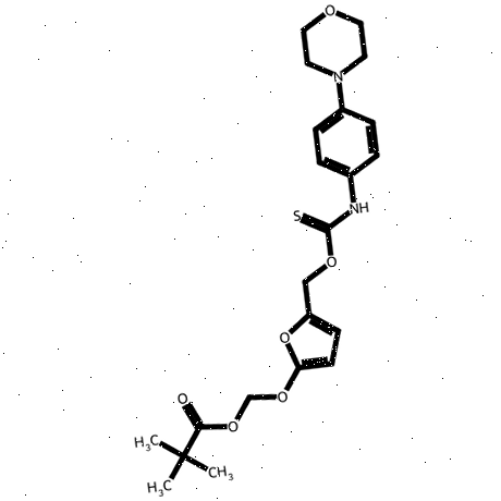 CC(C)(C)C(=O)OCOc1ccc(COC(=S)Nc2ccc(N3CCOCC3)cc2)o1